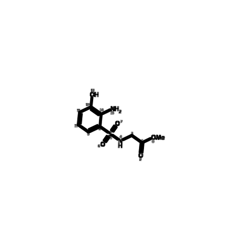 COC(=O)CNS(=O)(=O)c1cccc(O)c1N